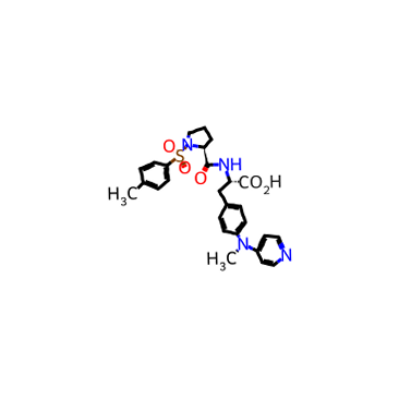 Cc1ccc(S(=O)(=O)N2CCC[C@H]2C(=O)N[C@@H](Cc2ccc(N(C)c3ccncc3)cc2)C(=O)O)cc1